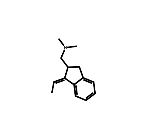 C/C=C1\c2ccccc2CC1CN(C)C